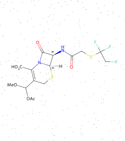 COC(OC(C)=O)C1=C(C(=O)O)N2C(=O)[C@@H](NC(=O)CSC(F)(F)CF)[C@H]2SC1